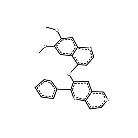 COc1cc2nccc(Oc3cc4cnccc4nc3-c3ccccc3)c2cc1OC